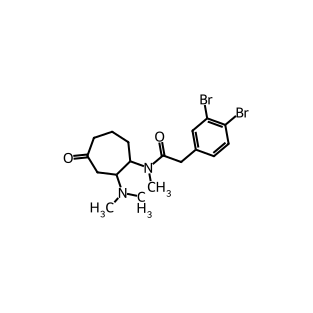 CN(C)C1CC(=O)CCCC1N(C)C(=O)Cc1ccc(Br)c(Br)c1